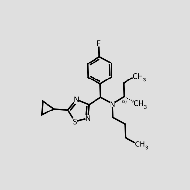 CCCCN(C(c1ccc(F)cc1)c1nsc(C2CC2)n1)[C@@H](C)CC